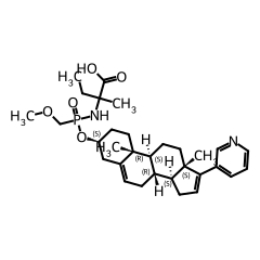 CCC(C)(NP(=O)(COC)O[C@H]1CC[C@@]2(C)C(=CC[C@@H]3[C@@H]2CC[C@]2(C)C(c4cccnc4)=CC[C@@H]32)C1)C(=O)O